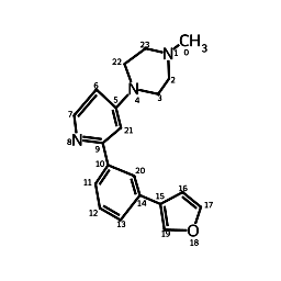 CN1CCN(c2ccnc(-c3cccc(-c4ccoc4)c3)c2)CC1